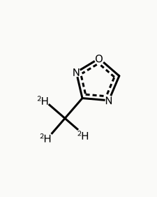 [2H]C([2H])([2H])c1ncon1